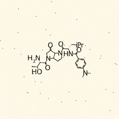 CC(C)C[C@H](NC(=O)c1ccc(N(C)C)cc1)C(=O)N1CCC2C1C(=O)CN2C(=O)[C@@H](N)[C@H](C)O